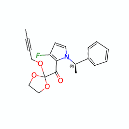 CC#CCOC1(C(=O)c2c(F)ccn2[C@H](C)c2ccccc2)OCCO1